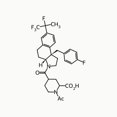 CC(=O)N1CCC(C(=O)N2CC[C@@]3(Cc4ccc(F)cc4)c4ccc(C(C)(F)C(F)(F)F)cc4CC[C@@H]23)CC1C(=O)O